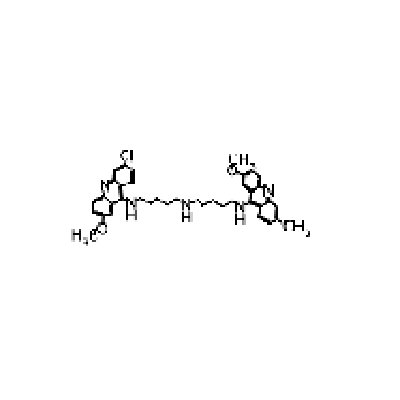 COc1ccc2nc3cc(C)ccc3c(NCCCCCNCCCCCNc3c4ccc(Cl)cc4nc4ccc(OC)cc34)c2c1